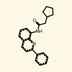 O=C(CC1CCCC1)Nc1cccc2ccc(-c3ccccc3)nc12